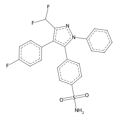 NS(=O)(=O)c1ccc(-c2c(-c3ccc(F)cc3)c(C(F)F)nn2-c2ccccc2)cc1